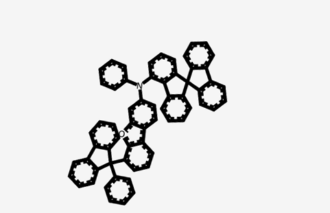 c1ccc(N(c2ccc3c(c2)oc2c(C4(c5ccccc5)c5ccccc5-c5ccccc54)cccc23)c2cccc3c2-c2ccccc2C32c3ccccc3-c3ccccc32)cc1